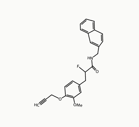 C#CCOc1ccc(CC(F)C(=O)NCc2ccc3ccccc3c2)cc1OC